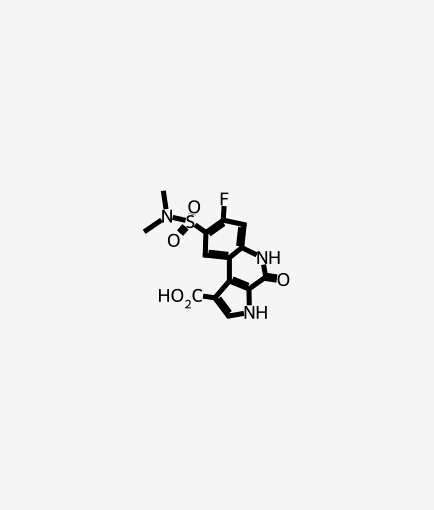 CN(C)S(=O)(=O)c1cc2c(cc1F)[nH]c(=O)c1[nH]cc(C(=O)O)c12